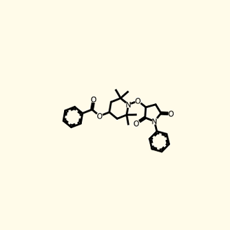 CC1(C)CC(OC(=O)c2ccccc2)CC(C)(C)N1OC1CC(=O)N(c2ccccc2)C1=O